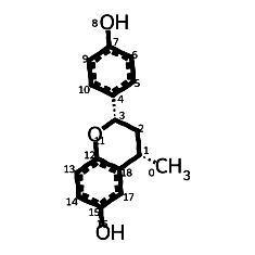 C[C@H]1C[C@@H](c2ccc(O)cc2)Oc2ccc(O)cc21